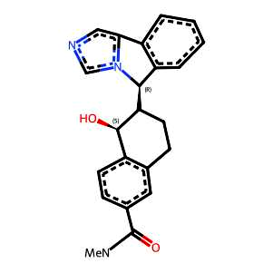 CNC(=O)c1ccc2c(c1)CCC([C@@H]1c3ccccc3-c3cncn31)[C@@H]2O